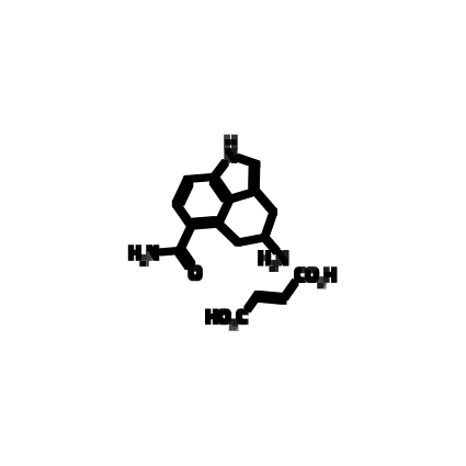 NC(=O)c1ccc2[nH]cc3c2c1CC(N)C3.O=C(O)C=CC(=O)O